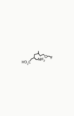 CC(CCOCF)CC(CN)CC(=O)O